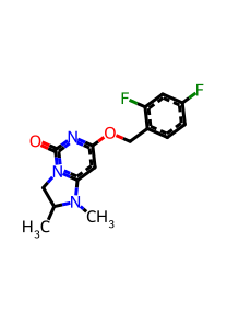 CC1Cn2c(cc(OCc3ccc(F)cc3F)nc2=O)N1C